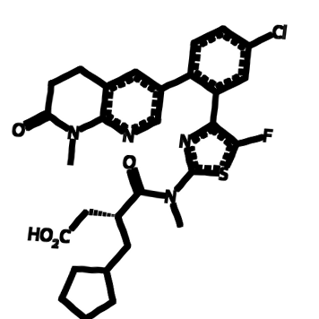 CN(C(=O)[C@@H](CC(=O)O)CC1CCCC1)c1nc(-c2cc(Cl)ccc2-c2cnc3c(c2)CCC(=O)N3C)c(F)s1